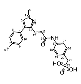 Cn1cc(-c2ccc(F)cc2)c(C=CC(=O)Nc2ccc(CP(=O)(O)O)cc2)n1